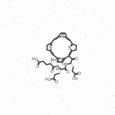 N[C@@H](CCC(=O)O)C(=O)N[C@@H](CCC(=O)O)C(=O)N[C@@H](CCC(=O)O)C(=O)c1c2nc(cc3ccc(cc4nc(cc5ccc1[nH]5)CC4)[nH]3)CC2